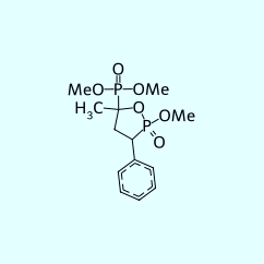 COP1(=O)OC(C)(P(=O)(OC)OC)CC1c1ccccc1